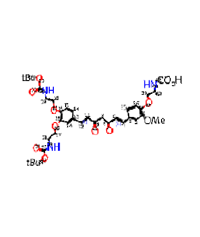 COc1cc(/C=C/C(=O)CC(=O)/C=C/c2ccc(OCCNC(=O)OC(C)(C)C)c(OCCNC(=O)OC(C)(C)C)c2)ccc1OCCNC(=O)O